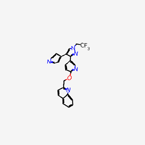 FC(F)(F)Cn1cc(-c2ccncc2)c(-c2ccc(OCc3ccc4ccccc4n3)nc2)n1